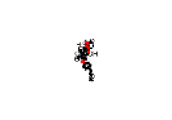 COOCCc1ccc(CO[C@H]2C(=O)OC3OC45C(=O)OC6C[C@@H](C(C)(C)C)C32C64[C@@H](O)C2OC(=O)[C@@H](C)[C@@]25O)cc1